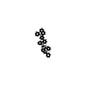 c1ccc(-c2cc3ccc4nc(-n5c6ccccc6c6c(-c7ccc8c(c7)c7ccc9ccccc9c7n8-c7ccccc7)cccc65)nc(-c5ccccc5)c4c3s2)cc1